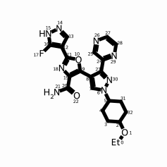 CCOC1CCC(n2cc(-c3oc(-c4cn[nH]c4F)nc3C(N)=O)c(-c3cnccn3)n2)CC1